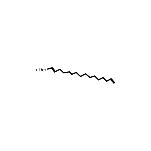 C=CCCCCCCCCCCCCC=CCCCCCCCCCC